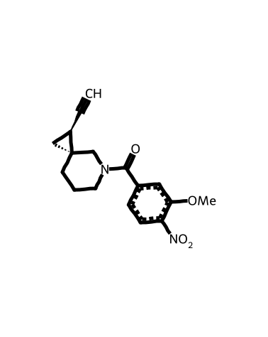 C#C[C@@H]1C[C@]12CCCN(C(=O)c1ccc([N+](=O)[O-])c(OC)c1)C2